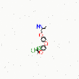 CC/C(CCOc1ccc(Oc2ccc(OC(C)=C(Cl)Cl)cc2)cc1)=N/N(C)C